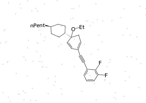 CCCCC[C@H]1CC[C@H](C2(OCC)C=CC(C#Cc3cccc(F)c3F)=CC2)CC1